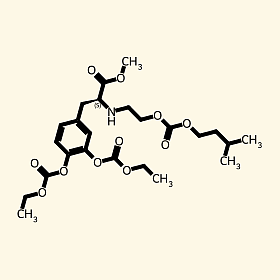 CCOC(=O)Oc1ccc(C[C@H](NCCOC(=O)OCCC(C)C)C(=O)OC)cc1OC(=O)OCC